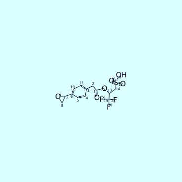 O=C(Cc1ccc(C2CO2)cc1)OC(CS(=O)(=O)O)C(F)(F)F